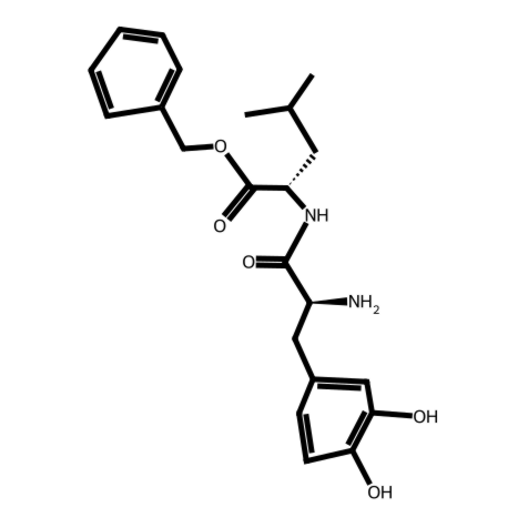 CC(C)C[C@H](NC(=O)[C@@H](N)Cc1ccc(O)c(O)c1)C(=O)OCc1ccccc1